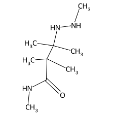 CNNC(C)(C)C(C)(C)C(=O)NC